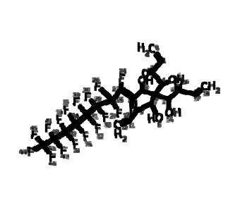 C=CC(=O)C(O)C(C(O)C(=O)C=C)(C(O)C(=O)C=C)C(O)C(F)=C(F)C(F)(F)C(F)(F)C(F)(F)C(F)(F)C(F)(F)C(F)(F)C(F)(F)F